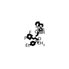 CCc1ccc(N(C)C(=O)[C@@H](CCC(=O)NS(=O)(=O)N2CCc3cccnc32)Cc2cc(F)cc(F)c2)cc1